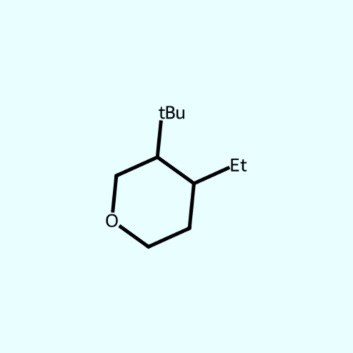 CCC1CCOCC1C(C)(C)C